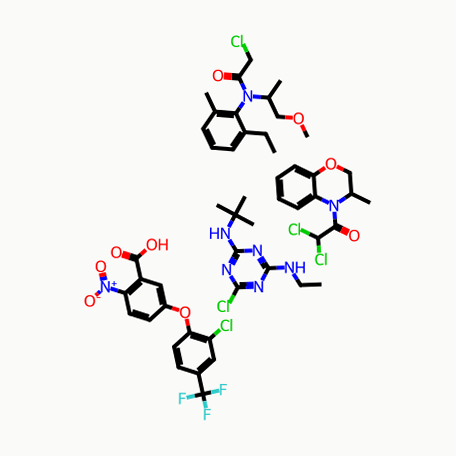 CC1COc2ccccc2N1C(=O)C(Cl)Cl.CCNc1nc(Cl)nc(NC(C)(C)C)n1.CCc1cccc(C)c1N(C(=O)CCl)C(C)COC.O=C(O)c1cc(Oc2ccc(C(F)(F)F)cc2Cl)ccc1[N+](=O)[O-]